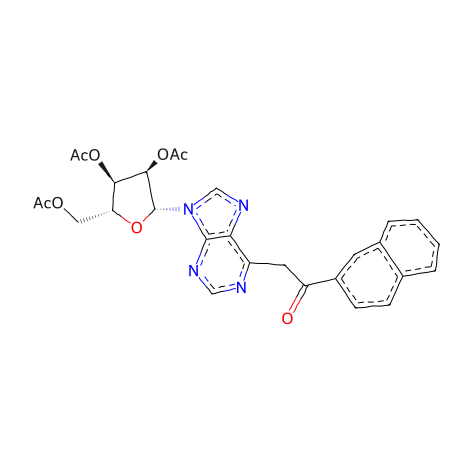 CC(=O)OC[C@H]1O[C@@H](n2cnc3c(CC(=O)c4ccc5ccccc5c4)ncnc32)[C@H](OC(C)=O)[C@@H]1OC(C)=O